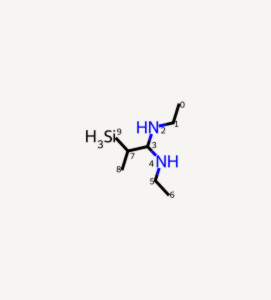 CCNC(NCC)C(C)[SiH3]